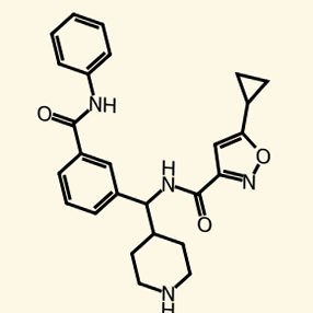 O=C(Nc1ccccc1)c1cccc(C(NC(=O)c2cc(C3CC3)on2)C2CCNCC2)c1